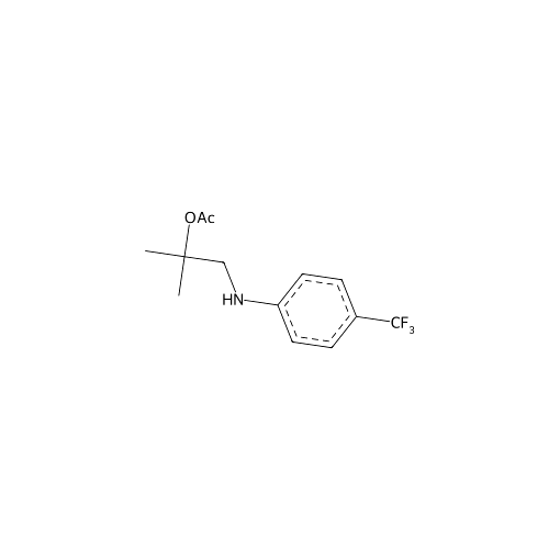 CC(=O)OC(C)(C)CNc1ccc(C(F)(F)F)cc1